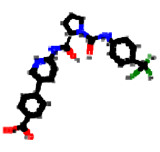 O=C(O)c1ccc(-c2ccc(NC(=O)[C@@H]3CCCN3C(=O)Nc3ccc(C(F)(F)F)cc3)nc2)cc1